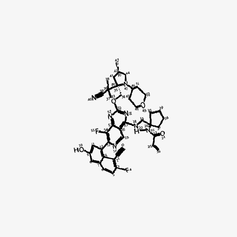 C#Cc1c(F)ccc2cc(O)cc(-c3ncc4c(NCC5(N(C)C(=O)C=C)CCCC5)nc(OC[C@]5(C(C)(C)C#N)C[C@@H](F)CN5C5CCOCC5)nc4c3F)c12